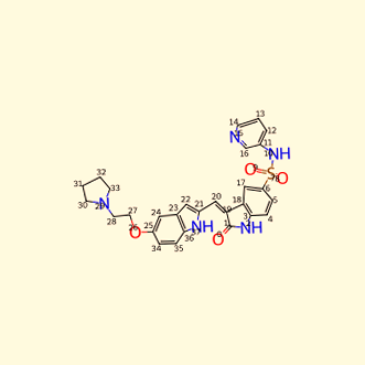 O=C1Nc2ccc(S(=O)(=O)Nc3cccnc3)cc2C1=Cc1cc2cc(OCCN3CCCC3)ccc2[nH]1